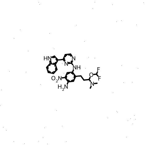 CN(C)C(CCc1cc(N)c([N+](=O)[O-])cc1Nc1nccc(-c2c[nH]c3ccccc23)n1)OC(F)F